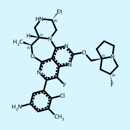 CC[C@@H]1CN2c3nc(OC[C@@]45CCCN4C[C@H](F)C5)nc4c(F)c(-c5cc(N)cc(C)c5Cl)nc(c34)O[C@@H](C)[C@@H]2CN1